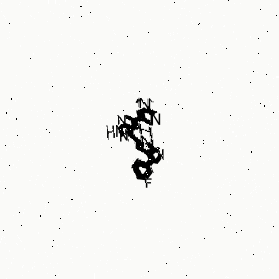 CN(C)c1cncc(-c2cnc3[nH]nc(-c4cc5c(-c6cccc(F)c6)cncc5[nH]4)c3c2)c1